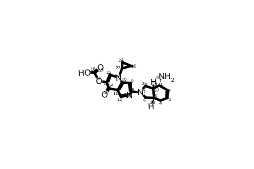 N[C@@H]1C=CC[C@@H]2CN(c3cc4c(cn3)c(=O)c(OC(=O)O)cn4C3CC3)C[C@@H]21